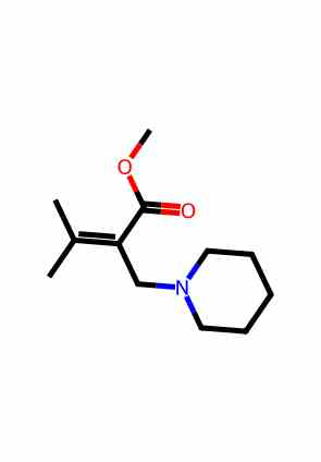 COC(=O)C(CN1CCCCC1)=C(C)C